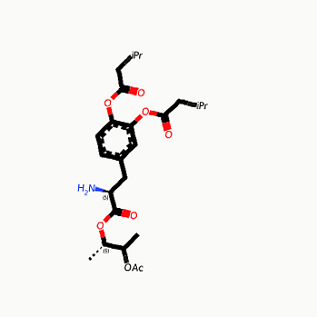 CC(=O)OC(C)[C@H](C)OC(=O)[C@@H](N)Cc1ccc(OC(=O)CC(C)C)c(OC(=O)CC(C)C)c1